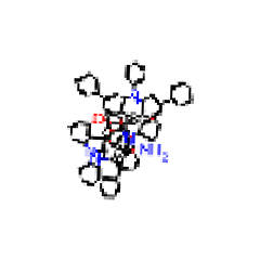 CC1=C(c2ccc(C(C)(C)C)cc2)\C=C\C23c4c(cccc4N4c5ccccc5N(c5c(-c6ccccc6)cccc5-c5ccccc5)C42)Oc2ccc4c(c23)N(\C(N)=C\1)c1ccccc1C41c2ccc(-c3ccccc3)cc2N(c2ccccc2)c2cc(-c3ccccc3)ccc21